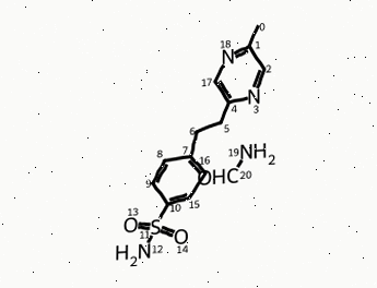 Cc1cnc(CCc2ccc(S(N)(=O)=O)cc2)cn1.NC=O